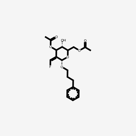 CC(=O)OCC1O[C@H](OCCCc2ccccc2)/C(=C\F)C(OC(C)=O)[C@@H]1O